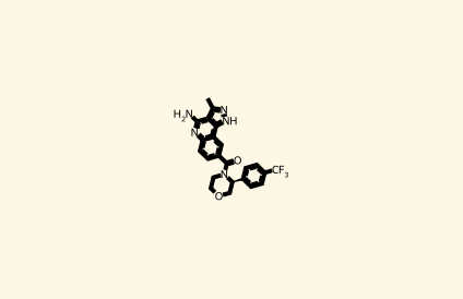 Cc1n[nH]c2c1c(N)nc1ccc(C(=O)N3CCOC[C@@H]3c3ccc(C(F)(F)F)cc3)cc12